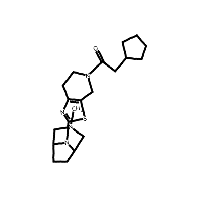 CN1CC2CCC(C1)N2c1nc2c(s1)CN(C(=O)CC1CCCC1)CC2